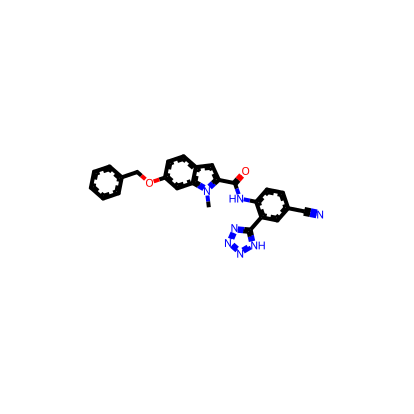 Cn1c(C(=O)Nc2ccc(C#N)cc2-c2nnn[nH]2)cc2ccc(OCc3ccccc3)cc21